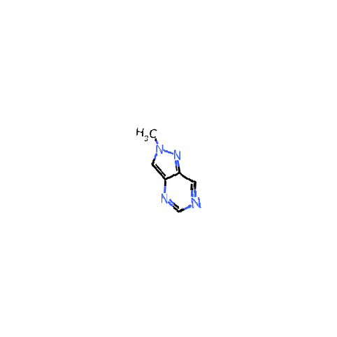 Cn1cc2ncncc2n1